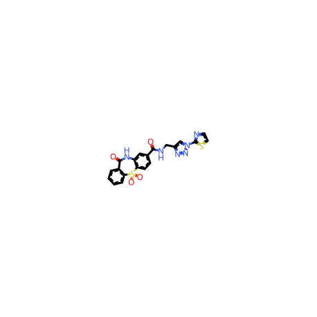 O=C(NCc1cn(-c2nccs2)nn1)c1ccc2c(c1)NC(=O)c1ccccc1S2(=O)=O